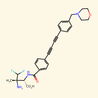 C[C@@](N)(C(F)F)[C@H](NC(=O)c1ccc(C#CC#Cc2ccc(CN3CCOCC3)cc2)cc1)C(=O)O